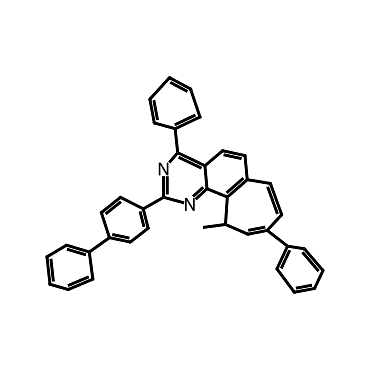 CC1C=C(c2ccccc2)C=Cc2ccc3c(-c4ccccc4)nc(-c4ccc(-c5ccccc5)cc4)nc3c21